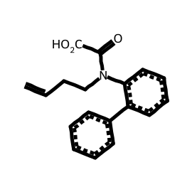 C=CCCN(C(=O)C(=O)O)c1ccccc1-c1ccccc1